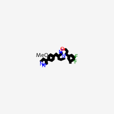 COc1cc(/C=C2\CCCN3C2=NOCCC3c2cc(C)c(F)c(F)c2)ccc1-c1ccnnc1